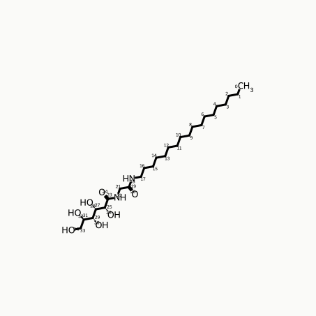 CCCCCCCCCCCCCCCCCCNC(=O)CNC(=O)[C@H](O)[C@@H](O)[C@H](O)[C@H](O)CO